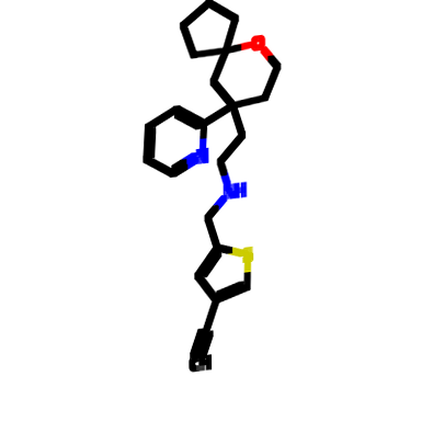 C#Cc1csc(CNCCC2(c3ccccn3)CCOC3(CCCC3)C2)c1